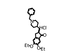 CCOc1cc2c(cc1OCC)C(=O)C(=CC1CCN(Cc3ccccc3)CC1)C2.Cl